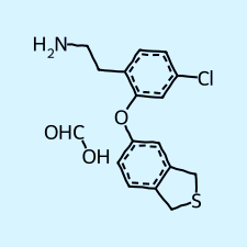 NCCc1ccc(Cl)cc1Oc1ccc2c(c1)CSC2.O=CO